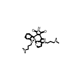 CN(C)CCCn1nc(C2=C(c3nn(CCCN(C)C)c4ccccc34)C(=O)NC2=O)c2ccccc21